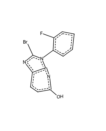 Oc1ccc2nc(Br)n(-c3ccccc3F)c2n1